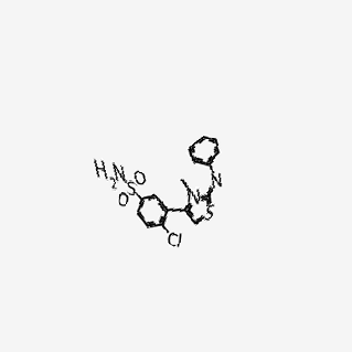 Cn1c(-c2cc(S(N)(=O)=O)ccc2Cl)cs/c1=N/c1ccccc1